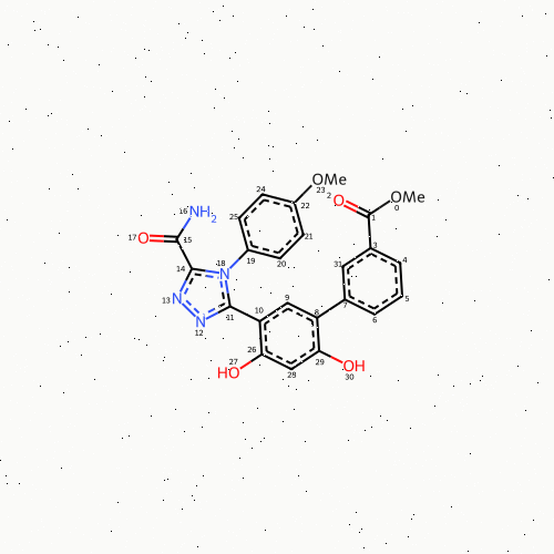 COC(=O)c1cccc(-c2cc(-c3nnc(C(N)=O)n3-c3ccc(OC)cc3)c(O)cc2O)c1